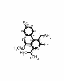 BCc1c(F)nc(C(C)C)c(C(=O)OC)c1-c1ccc(F)cc1